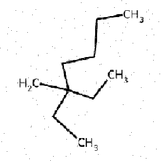 [CH2]C(CC)(CC)CCCC